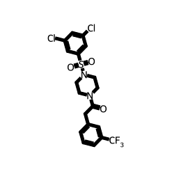 O=C(Cc1cccc(C(F)(F)F)c1)N1CCN(S(=O)(=O)c2cc(Cl)cc(Cl)c2)CC1